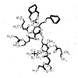 CCC(=O)O[C@H](CC)CC(=O)NC1[C@H](O[Si](C)(C)C(C)(C)C)OC(CO[C@@H]2OC(COCc3ccccc3)[C@@H](OP3(=O)OCc4ccccc4CO3)[C@H](OC(=O)C[C@H](C)CC)C2NC(=O)C[C@@H](CC)OC(=O)CC)[C@@H](C)[C@@H]1OC(=O)C[C@H](C)CC